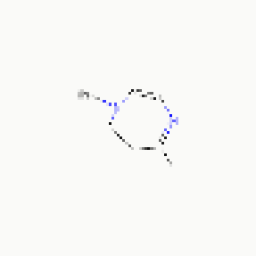 CC1=NC=CN(C(C)C)CC1